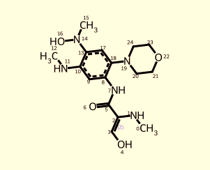 CN/C(=C\O)C(=O)Nc1cc(NC)c(N(C)O)cc1N1CCOCC1